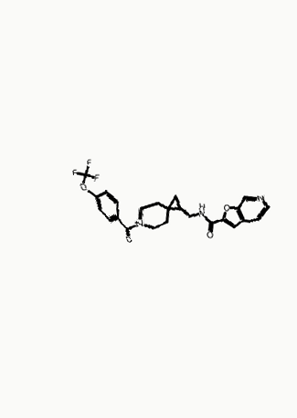 O=C(NCC1CC12CCN(C(=O)c1ccc(OC(F)(F)F)cc1)CC2)c1cc2ccncc2o1